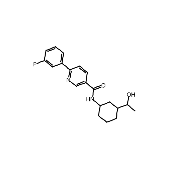 CC(O)C1CCCC(NC(=O)c2ccc(-c3cccc(F)c3)nc2)C1